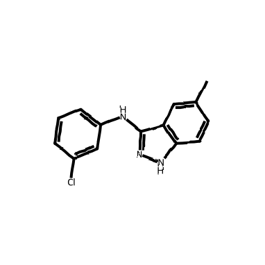 Cc1ccc2[nH]nc(Nc3cccc(Cl)c3)c2c1